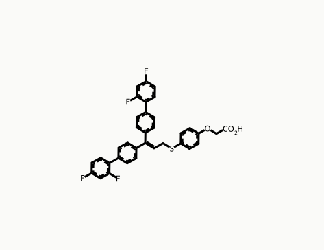 O=C(O)COc1ccc(SCC=C(c2ccc(-c3ccc(F)cc3F)cc2)c2ccc(-c3ccc(F)cc3F)cc2)cc1